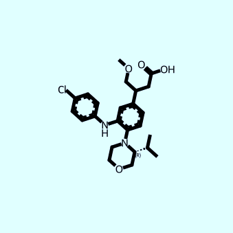 COCC(CC(=O)O)c1ccc(N2CCOC[C@H]2C(C)C)c(Nc2ccc(Cl)cc2)c1